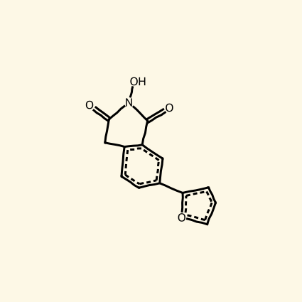 O=C1Cc2ccc(-c3ccco3)cc2C(=O)N1O